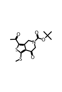 CSc1sc(C(C)=O)c2c1C(=O)CN(C(=O)OC(C)(C)C)C2